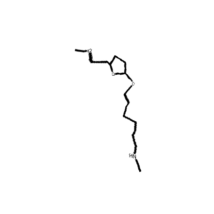 CNCCCCCCOC1CCC(COC)O1